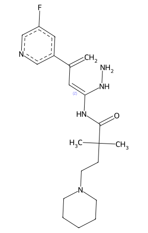 C=C(/C=C(\NN)NC(=O)C(C)(C)CCN1CCCCC1)c1cncc(F)c1